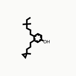 CCC(C)(C)CCCc1ccc(O)cc1CCCC1(C)CC1